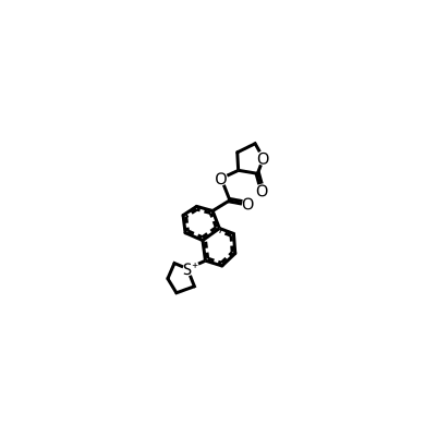 O=C(OC1CCOC1=O)c1cccc2c([S+]3CCCC3)cccc12